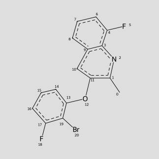 Cc1nc2c(F)cccc2cc1Oc1cccc(F)c1Br